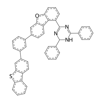 c1ccc(C2=NC(c3cccc4oc5cc(-c6cccc(-c7ccc8c(c7)sc7ccccc78)c6)ccc5c34)=NC(c3ccccc3)N2)cc1